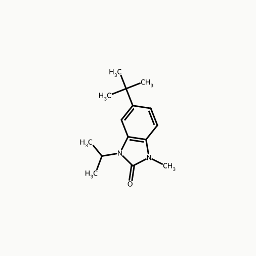 CC(C)n1c(=O)n(C)c2ccc(C(C)(C)C)cc21